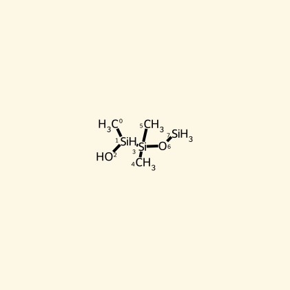 C[SiH](O)[Si](C)(C)O[SiH3]